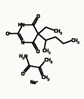 C=C(C)C(N)=O.CCCC(C)C1(CC)C(=O)N=C([O-])NC1=O.[Na+]